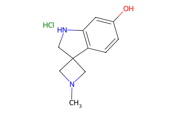 CN1CC2(CNc3cc(O)ccc32)C1.Cl